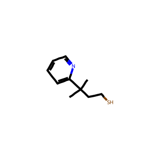 CC(C)(CCS)c1ccccn1